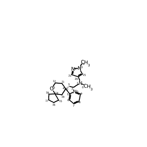 CN(CC[C@@]1(c2ccccn2)CCOC2(CCCC2)C1)c1cnn(C)c1